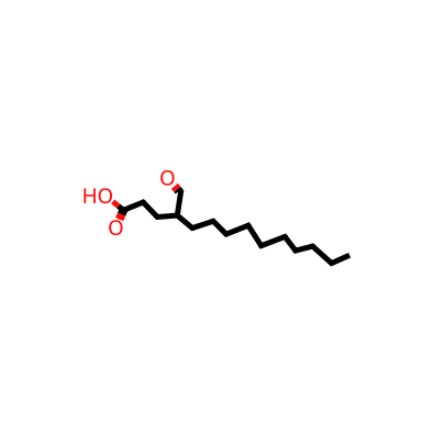 CCCCCCCCCCC(C=O)CCC(=O)O